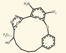 Nc1cc(C(F)(F)F)c2nc1-c1nnc(o1)[C@@](O)(C(F)(F)F)CCCCc1cccc(c1)O2